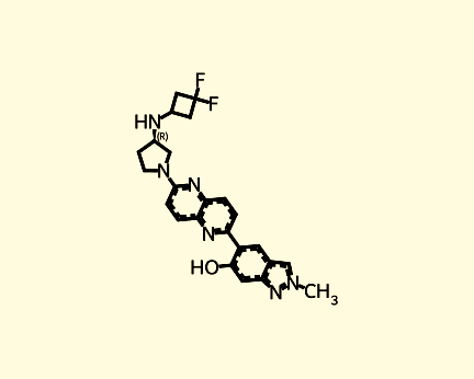 Cn1cc2cc(-c3ccc4nc(N5CC[C@@H](NC6CC(F)(F)C6)C5)ccc4n3)c(O)cc2n1